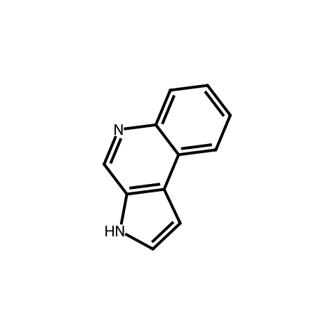 c1ccc2c(c1)ncc1[nH]ccc12